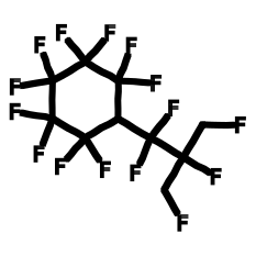 FCC(F)(CF)C(F)(F)C1C(F)(F)C(F)(F)C(F)(F)C(F)(F)C1(F)F